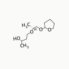 CC(O)CCO[C@H](C)COC1CCCCO1